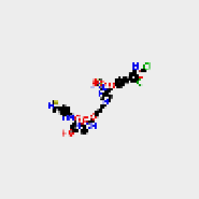 Cc1ncsc1-c1ccc(CNC(=O)[C@@H]2C[C@@H](O)CN2C(=O)[C@@H](NC(=O)COCCCCCN2CCc3c(COc4ccc(C(C)(C)c5cc(Cl)c(OCCCl)c(C#N)c5)cc4)nc(NS(C)(=O)=O)nc3C2)C(C)(C)C)cc1